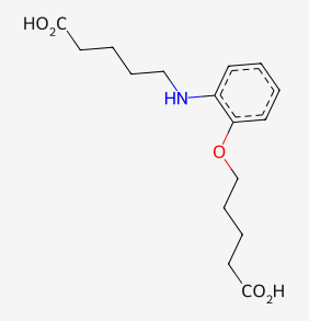 O=C(O)CCCCNc1ccccc1OCCCCC(=O)O